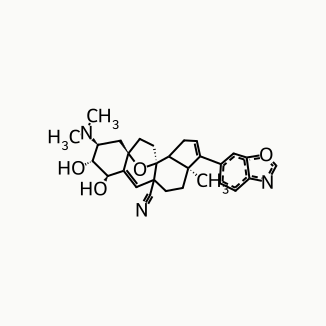 CN(C)[C@H]1C[C@@]23CC[C@]4(O2)C2CC=C(c5ccc6ncoc6c5)[C@@]2(C)CCC4(C#N)C=C3[C@@H](O)[C@@H]1O